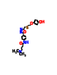 CN(C)CCCC(=O)Nc1ccc(-c2nnc(CSCCOc3ccc(O)cc3)o2)cc1